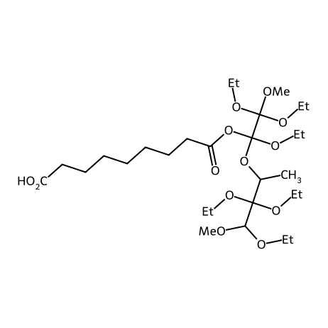 CCOC(OC)C(OCC)(OCC)C(C)OC(OCC)(OC(=O)CCCCCCCC(=O)O)C(OC)(OCC)OCC